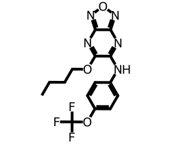 CCCCOc1nc2nonc2nc1Nc1ccc(OC(F)(F)F)cc1